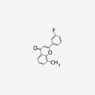 Cc1cccc2c(=O)cc(-c3cccc(F)c3)oc12